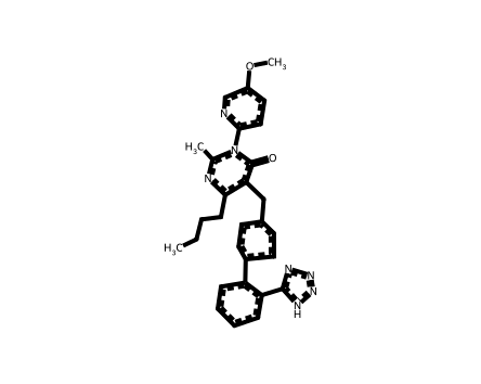 CCCCc1nc(C)n(-c2ccc(OC)cn2)c(=O)c1Cc1ccc(-c2ccccc2-c2nnn[nH]2)cc1